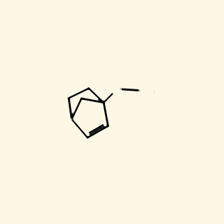 CCCCOC12C=CC(CC1)C2